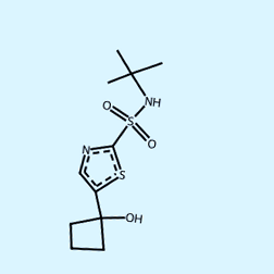 CC(C)(C)NS(=O)(=O)c1ncc(C2(O)CCC2)s1